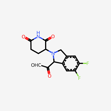 O=CC(=O)C1c2cc(F)c(F)cc2CN1C1CCC(=O)NC1=O